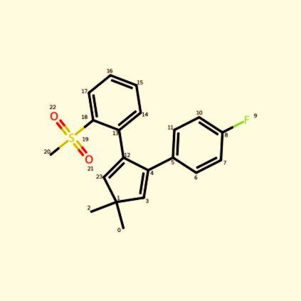 CC1(C)C=C(c2ccc(F)cc2)C(c2ccccc2S(C)(=O)=O)=C1